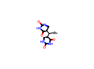 CCCCC(c1c[nH]c(=O)[nH]c1=O)c1c[nH]c(=O)[nH]c1=O